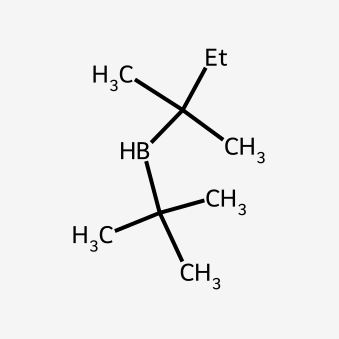 CCC(C)(C)BC(C)(C)C